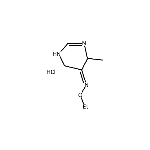 CCO/N=C1\CNC=NC1C.Cl